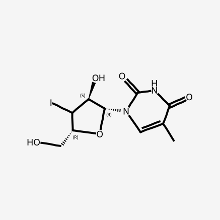 Cc1cn([C@@H]2O[C@H](CO)C(I)[C@H]2O)c(=O)[nH]c1=O